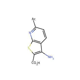 CC(=O)c1ccc2c(N)c(C(=O)O)sc2n1